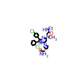 CCNC(=O)CN(C)c1cc(N2CC[C@H](CC(N)=O)C2)n2nc(-c3ccccc3Cl)c(-c3ccc(Cl)cc3)c2n1